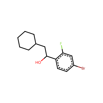 OC(CC1CCCCC1)c1ccc(Br)cc1F